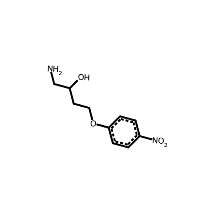 NCC(O)CCOc1ccc([N+](=O)[O-])cc1